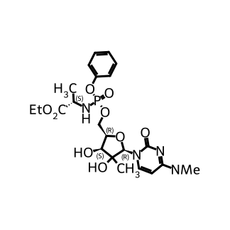 CCOC(=O)[C@H](C)NP(=O)(OC[C@H]1O[C@@H](n2ccc(NC)nc2=O)C(C)(O)[C@H]1O)Oc1ccccc1